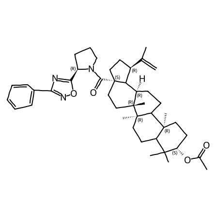 C=C(C)[C@@H]1CC[C@]2(C(=O)N3CCC[C@@H]3c3nc(-c4ccccc4)no3)CC[C@]3(C)[C@H](CCC4[C@@]5(C)CC[C@H](OC(C)=O)C(C)(C)C5CC[C@]43C)C12